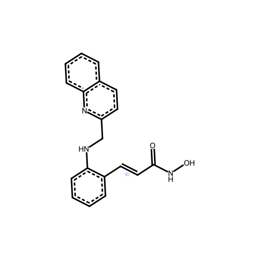 O=C(/C=C/c1ccccc1NCc1ccc2ccccc2n1)NO